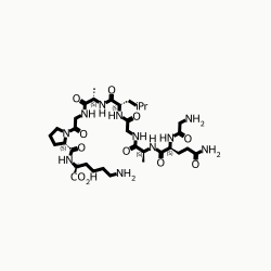 CC(C)C[C@H](NC(=O)CNC(=O)[C@H](C)NC(=O)[C@H](CCC(N)=O)NC(=O)CN)C(=O)N[C@@H](C)C(=O)NCC(=O)N1CCC[C@H]1C(=O)N[C@@H](CCCCN)C(=O)O